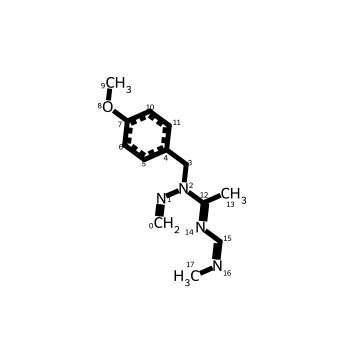 C=NN(Cc1ccc(OC)cc1)/C(C)=N/C=N\C